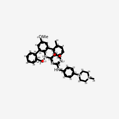 COc1cc(-c2ccccc2C)c(N(C(=O)O)c2ccnc(Nc3ccc(N4CCN(C)CC4)cc3)n2)c(-c2ccccc2C)c1